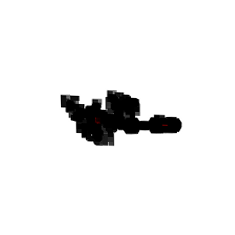 COC(=O)NC(C(=O)NC(Cc1ccc(C#Cc2ccc(N3CC4CC(C3)N4C3COC3)nc2)cc1)C(O)CN(Cc1c(F)cc(-c2ccn(CC(F)F)n2)cc1F)NC(=O)C(NC(=O)O)C(C)(C)C(F)(F)F)C(C)(C)C(F)(F)F